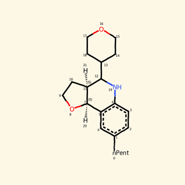 CCCCCc1ccc2c(c1)[C@H]1OCC[C@H]1C(C1CCOCC1)N2